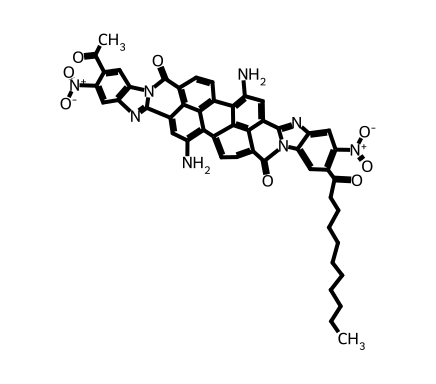 CCCCCCCCCCC(=O)c1cc2c(cc1[N+](=O)[O-])nc1c3cc(N)c4c5ccc6c(=O)n7c8cc(C(C)=O)c([N+](=O)[O-])cc8nc7c7cc(N)c(c8ccc(c(=O)n21)c3c84)c5c67